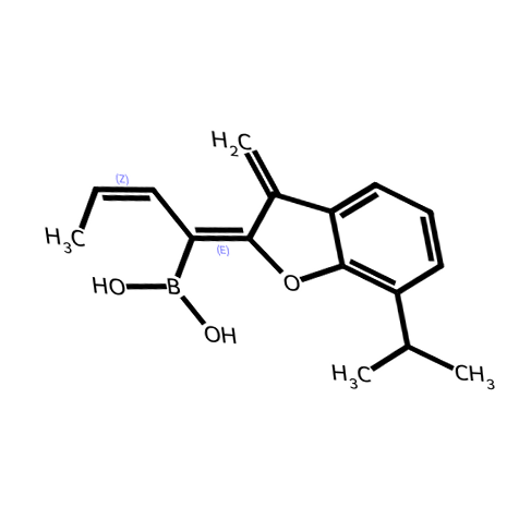 C=c1/c(=C(\C=C/C)B(O)O)oc2c(C(C)C)cccc12